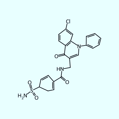 NS(=O)(=O)C1C=CC(C(=O)NCc2cn(-c3ccccc3)c3cc(Cl)ccc3c2=O)=CC1